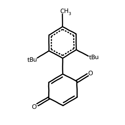 Cc1cc(C(C)(C)C)c(C2=CC(=O)C=CC2=O)c(C(C)(C)C)c1